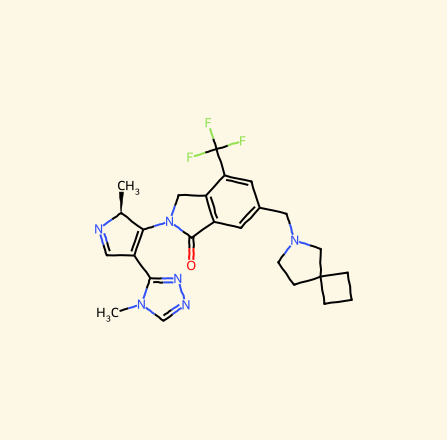 C[C@@H]1N=CC(c2nncn2C)=C1N1Cc2c(cc(CN3CCC4(CCC4)C3)cc2C(F)(F)F)C1=O